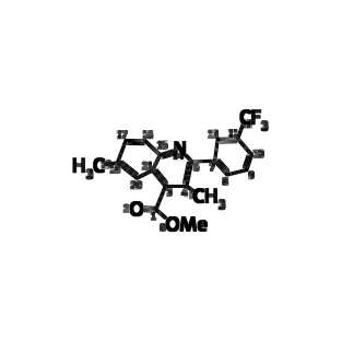 COC(=O)c1c(C)c(-c2cccc(C(F)(F)F)c2)nc2ccc(C)cc12